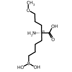 COCCC[C@](N)(CCCCB(O)O)C(=O)O